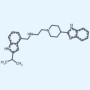 CC(C)c1cc2c(CNCCN3CCC(c4nc5ccccc5[nH]4)CC3)cccc2[nH]1